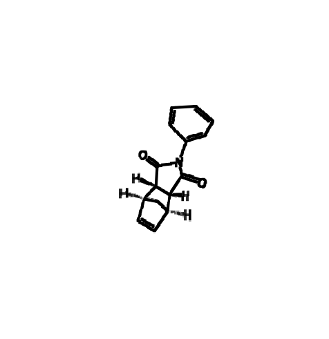 O=C1[C@@H]2[C@H](C(=O)N1c1ccccc1)[C@H]1C=C[C@@H]2C1